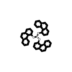 c1ccc2c(c1)ccc1cccc(OP(Oc3cccc4ccc5ccccc5c34)Oc3cccc4ccc5ccccc5c34)c12